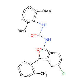 COc1cccc(OC)c1NC(=O)Nc1oc(-c2ccccc2C)c2cc(Cl)ccc12